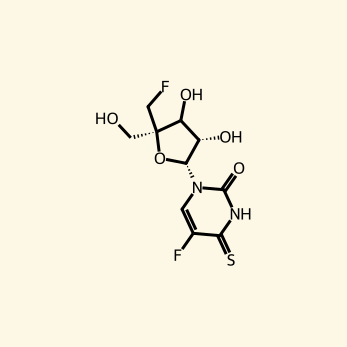 O=c1[nH]c(=S)c(F)cn1[C@@H]1O[C@@](CO)(CF)C(O)[C@@H]1O